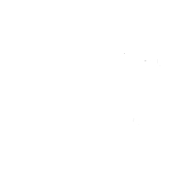 C=CCC(CI)(CC=C)CCCOC1CCCCO1